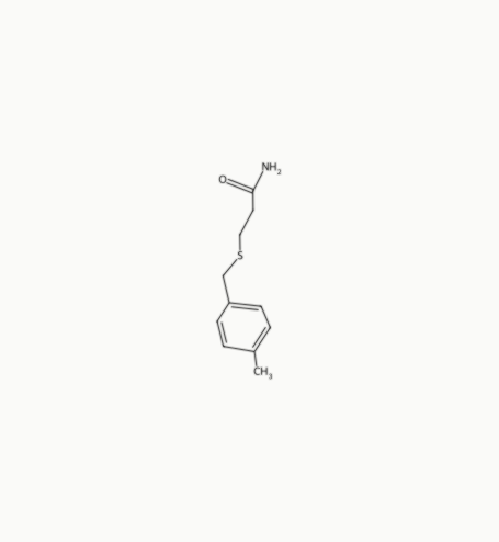 Cc1ccc(CSCCC(N)=O)cc1